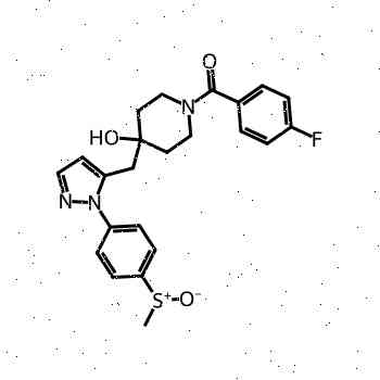 C[S+]([O-])c1ccc(-n2nccc2CC2(O)CCN(C(=O)c3ccc(F)cc3)CC2)cc1